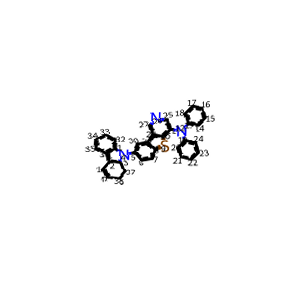 C1=Cc2c(n(-c3ccc4sc5c(N(c6ccccc6)c6ccccc6)cncc5c4c3)c3ccccc23)CC1